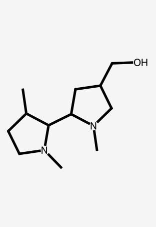 CC1CCN(C)C1C1CC(CO)CN1C